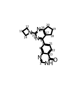 O=c1[nH]cnc2cc(-c3nc(N4CCC4)nc4c3CCC4)ccc12